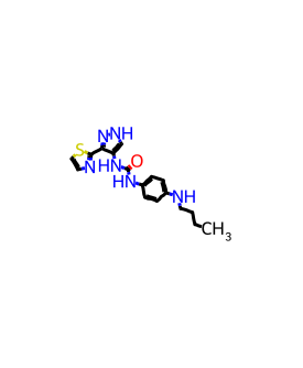 CCCCNc1ccc(NC(=O)Nc2c[nH]nc2-c2nccs2)cc1